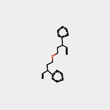 C=CC(CCOCCC(C=C)c1ccccc1)c1ccccc1